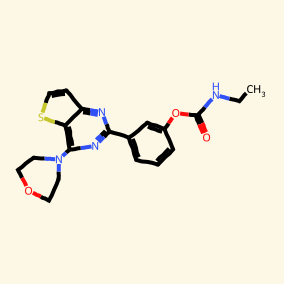 CCNC(=O)Oc1cccc(-c2nc(N3CCOCC3)c3sccc3n2)c1